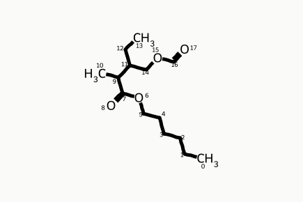 CCCCCCOC(=O)C(C)C(CC)CO[C]=O